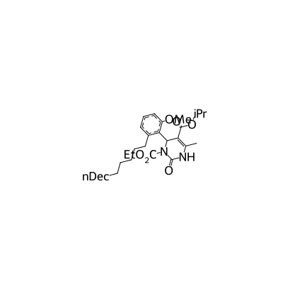 CCCCCCCCCCCCCCCc1cccc(OC)c1C1C(C(=O)OC(C)C)=C(C)NC(=O)N1C(=O)OCC